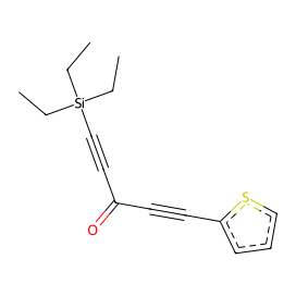 CC[Si](C#CC(=O)C#Cc1cccs1)(CC)CC